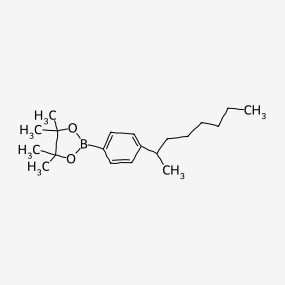 CCCCCCC(C)c1ccc(B2OC(C)(C)C(C)(C)O2)cc1